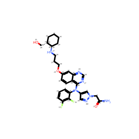 NC(=O)Cn1cc(N(c2cccc(F)c2F)c2ncnc3cc(OCCCN[C@@H]4CCCC[C@H]4CO)ccc23)cn1